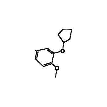 COc1cc[c]cc1OC1CCCC1